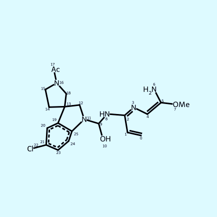 C=C/C(=N\C=C(/N)OC)NC(O)N1CC2(CCN(C(C)=O)C2)c2cc(Cl)ccc21